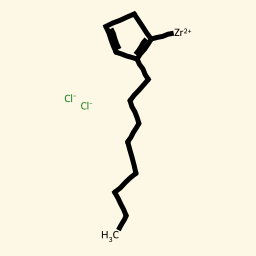 CCCCCCCCC1=[C]([Zr+2])CC=C1.[Cl-].[Cl-]